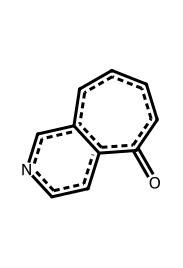 O=c1ccccc2cnccc12